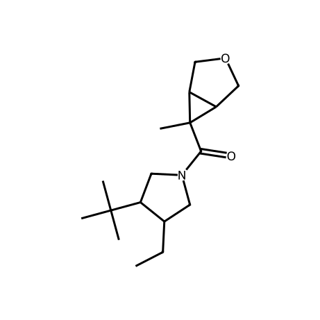 CCC1CN(C(=O)C2(C)C3COCC32)CC1C(C)(C)C